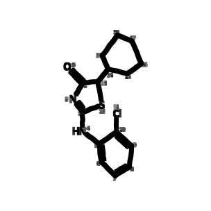 O=C1N=C(Nc2ccccc2Cl)SC1C1CCCCC1